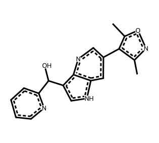 Cc1noc(C)c1-c1cnc2c(C(O)c3ccccn3)c[nH]c2c1